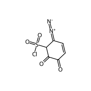 [N-]=[N+]=C1C=CC(=O)C(=O)C1S(=O)(=O)Cl